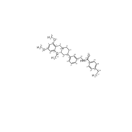 COc1cc(OC)c(CN2CCC(c3cccc(CNC(=O)c4ccc(SC)cc4)c3)CC2)c(OC)c1